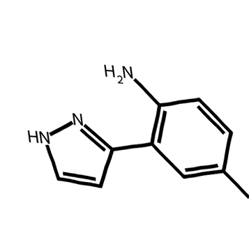 Nc1ccc(Br)cc1-c1cc[nH]n1